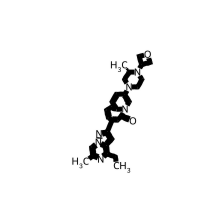 CCc1nc(C)cn2nc(C3=C\C(=O)N4C=C(N5CCN(C6COC6)[C@H](C)C5)C=C\C4=C/C=C/3)cc12